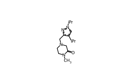 CC(C)c1cn(C(C)C)nc1CN1CCN(C)C(=O)C1